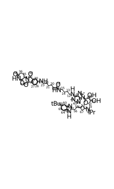 CC(C)N(CC1OC(n2cnc3c(NCCCCNC(=O)CCCCCNc4ccc5c(c4)C(=O)N(C4CCC(=O)NC4=O)C5=O)ncnc32)C(O)C1O)C1CC(CCc2nc3cc(C(C)(C)C)ccc3[nH]2)C1